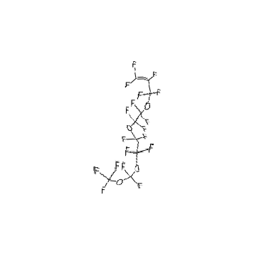 FC(F)=C(F)C(F)(F)OC(F)(F)C(F)(F)OC(F)(F)C(F)(F)OC(F)(F)OC(F)(F)F